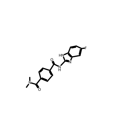 CN(C)C(=O)c1ccc(C(=O)Nc2nc3cc(F)ccc3[nH]2)cc1